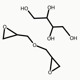 C(OCC1CO1)C1CO1.OCC(O)C(O)CO